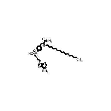 CCCCCCCCCCCCCCCCN[C@@H](Cc1ccc(OP(=O)(O)COCCn2cnc3c(N)ncnc32)cc1)C(N)=O